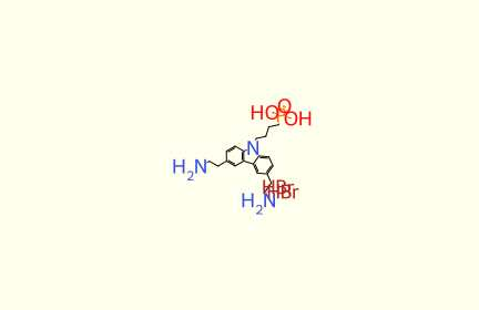 Br.Br.NCCc1ccc2c(c1)c1cc(CCN)ccc1n2CCCCP(=O)(O)O